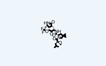 CO[C@@H](CC(C)C)C(=O)N1CC2(CC2)C[C@H]1C(=O)N[C@@H](C[C@@H]1CCNC1=O)C(=O)COC(F)(F)F